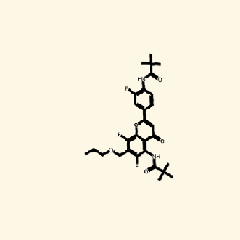 CCCOCc1c(F)c(NC(=O)C(C)(C)C)c2c(=O)cc(-c3ccc(NC(=O)C(C)(C)C)c(F)c3)oc2c1F